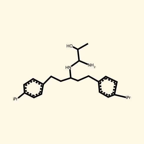 CC(C)c1ccc(CCC(CCc2ccc(C(C)C)cc2)NC(N)C(C)O)cc1